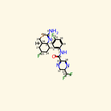 NC1=N[C@@]2(c3cc(NC(=O)C4=NCC(C(F)F)N=C4)ccc3F)CC[C@@H](F)C[C@H]2CS1